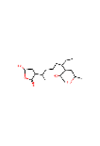 CCC(CCCC(C)C1CC(O)OC1=O)C(CC(C)O)C(C)O